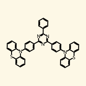 c1ccc(-c2nc(-c3ccc(N4c5ccccc5Sc5ccccc54)cc3)nc(-c3ccc(N4c5ccccc5Sc5ccccc54)cc3)n2)cc1